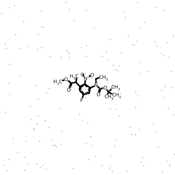 CCN(C(=O)OC(C)(C)C)c1cc(F)cc(C(C)C(=O)OC)c1[N+](=O)[O-]